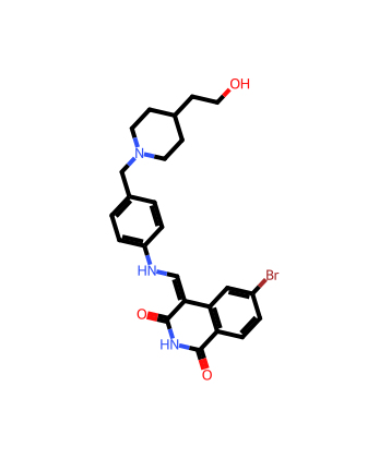 O=C1NC(=O)c2ccc(Br)cc2/C1=C/Nc1ccc(CN2CCC(CCO)CC2)cc1